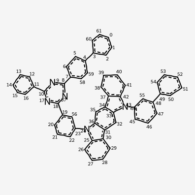 c1ccc(-c2ccc(-c3nc(-c4ccccc4)nc(-c4cccc(-n5c6ccccc6c6cc7c(cc65)c5ccccc5n7-c5cccc(-c6ccccc6)c5)c4)n3)cc2)cc1